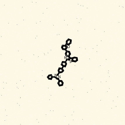 c1ccc(-c2cc(-c3ccccc3)nc(-c3ccc(-c4ccc(-c5nc6cc(-c7cccc8c7oc7ccccc78)ccc6c6c5sc5ccccc56)cc4)cc3)n2)cc1